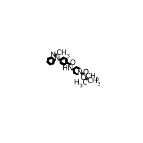 Cc1nc2ccccc2n1-c1ccc(C(=O)NC2CCN(C(=O)OC(C)(C)C)CC2)cc1